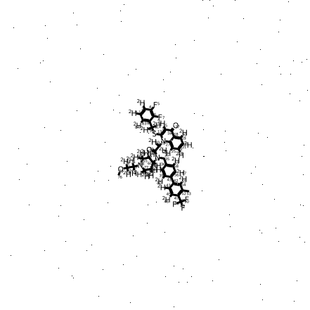 [2H]c1c([2H])c(F)c(F)c(C([2H])([2H])Sc2c([2H])c(=O)c3c([2H])c([2H])c([2H])c([2H])c3n2C([2H])([2H])C(=O)N(Cc2c([2H])c([2H])c(-c3c([2H])c([2H])c(C(F)(F)F)c(C)c3[2H])c([2H])c2[2H])C2([2H])C([2H])([2H])C([2H])([2H])N(C([2H])([2H])C([2H])([2H])OC)C([2H])([2H])C2([2H])[2H])c1[2H]